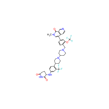 Cn1cc(-c2ccc(CN3CCC(N4CCC(c5ccc(NC6CCC(=O)NC6=O)cc5C(F)(F)F)CC4)CC3)c(OC(F)(F)F)c2)c2ccncc2c1=O